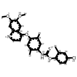 COc1cc2nccc(Oc3cc(C)c(NC(=S)Oc4ccc(Cl)cc4C)cc3C)c2cc1OC